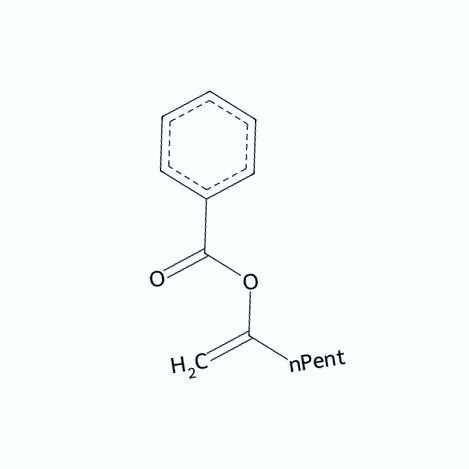 C=C(CCCCC)OC(=O)c1ccccc1